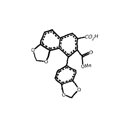 COC(=O)c1c(C(=O)O)cc2ccc3c(c2c1-c1ccc2c(c1)OCO2)OCO3